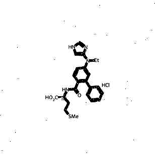 CCN(c1ccc(C(=O)N[C@@H](CCSC)C(=O)O)c(-c2ccccc2)c1)c1c[nH]cn1.Cl